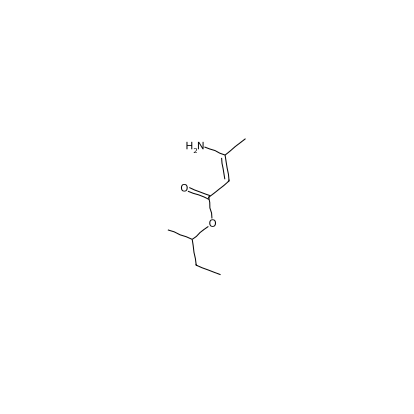 CCC(C)OC(=O)C=C(C)N